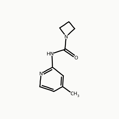 Cc1ccnc(NC(=O)N2CCC2)c1